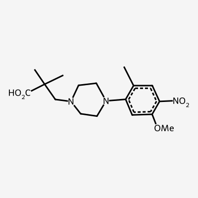 COc1cc(N2CCN(CC(C)(C)C(=O)O)CC2)c(C)cc1[N+](=O)[O-]